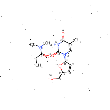 CCC(=O)N(C)C.Cc1cn([C@H]2C=C[C@@H](CO)O2)c(=O)[nH]c1=O